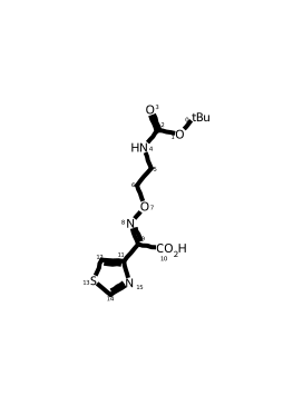 CC(C)(C)OC(=O)NCCON=C(C(=O)O)c1cscn1